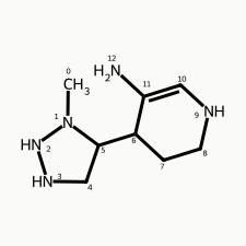 CN1NNCC1C1CCNC=C1N